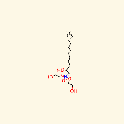 CCCCCCCCCCC(O)C[N+]([O-])(OCCO)OCCO